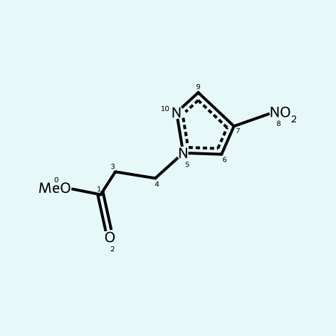 COC(=O)CCn1cc([N+](=O)[O-])cn1